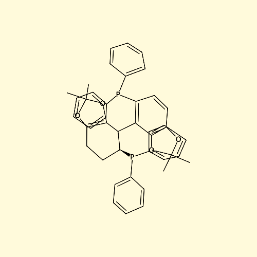 CC1(C)OC2=C(O1)C(c1c(P(c3ccccc3)c3ccccc3)ccc3c1OC(C)(C)O3)[C@@H](P(c1ccccc1)c1ccccc1)CC2